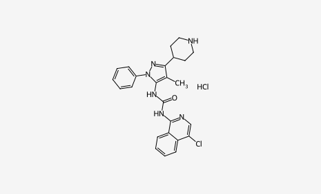 Cc1c(C2CCNCC2)nn(-c2ccccc2)c1NC(=O)Nc1ncc(Cl)c2ccccc12.Cl